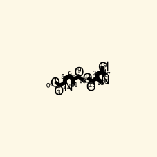 COC(=O)c1ccc(C(=O)COC(=O)c2cncc(Cl)c2)cn1